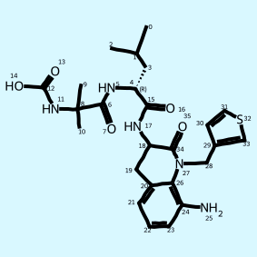 CC(C)C[C@@H](NC(=O)C(C)(C)NC(=O)O)C(=O)NC1Cc2cccc(N)c2N(Cc2ccsc2)C1=O